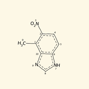 Cc1c([N+](=O)[O-])ccc2[nH]cnc12